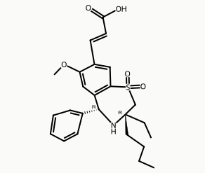 CCCC[C@]1(CC)CS(=O)(=O)c2cc(C=CC(=O)O)c(OC)cc2[C@@H](c2ccccc2)N1